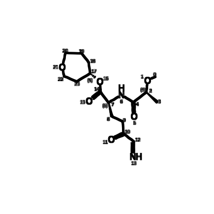 CO[C@@H](C)C(=O)N[C@@H](CCC(=O)C=N)C(=O)O[C@H]1CCCOCC1